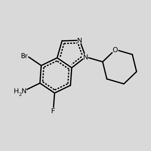 Nc1c(F)cc2c(cnn2C2CCCCO2)c1Br